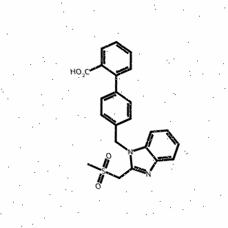 CS(=O)(=O)Cc1nc2ccccc2n1Cc1ccc(-c2ccccc2C(=O)O)cc1